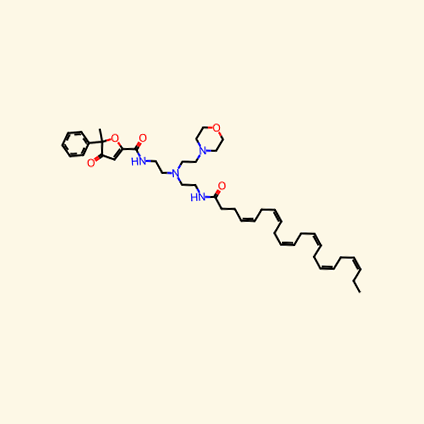 CC/C=C\C/C=C\C/C=C\C/C=C\C/C=C\C/C=C\CCC(=O)NCCN(CCNC(=O)C1=CC(=O)C(C)(c2ccccc2)O1)CCN1CCOCC1